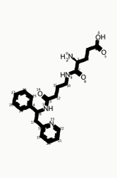 N[C@@H](CCC(=O)O)C(=O)NCCCC(=O)NC(Cc1ccccn1)c1ccccc1